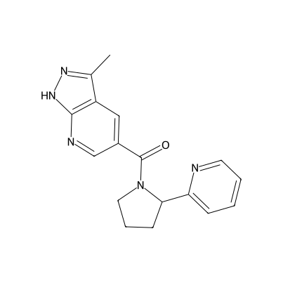 Cc1n[nH]c2ncc(C(=O)N3CCCC3c3ccccn3)cc12